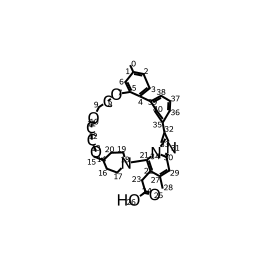 Cc1ccc2c(c1)OCCOCCOC1(C)CCN(CC1)c1c(CC(=O)O)c(C)cc3nc(cn13)-c1cccc-2c1